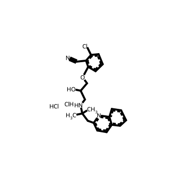 CC(C)(Cc1ccc2ccccc2n1)NCC(O)COc1cccc(Cl)c1C#N.Cl.Cl